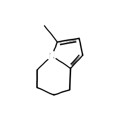 Cc1ccc2n1CCCC2